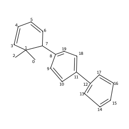 CC1(C)C=CC=CC1c1ccc(-c2ccccc2)cc1